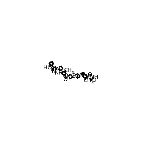 Cc1cc(C(=O)N2CCC(F)(CN3CCC(n4ccc5cc(N6CCC(=O)NC6=O)c(C)cc54)CC3)CC2)ccc1[C@H]1CCCN(c2cc(-c3ccccc3O)nnc2N)C1